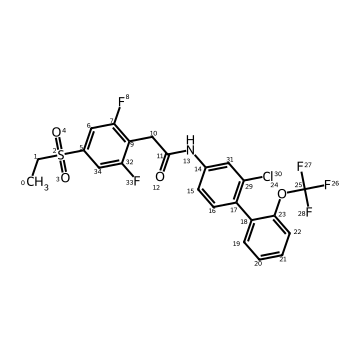 CCS(=O)(=O)c1cc(F)c(CC(=O)Nc2ccc(-c3ccccc3OC(F)(F)F)c(Cl)c2)c(F)c1